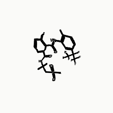 Cc1ccc(C(F)(C(F)(F)F)C(F)(F)F)cc1NC(=O)c1c(I)cccc1C(=O)NC(C)(C)CS(C)(=O)=O